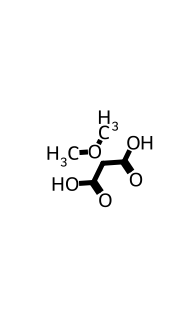 COC.O=C(O)CC(=O)O